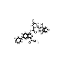 NC(=O)c1nn(CC(=O)N2CC(F)CC2C(O)Nc2nonc2O)c2ccc(-c3ccnnc3)cc12